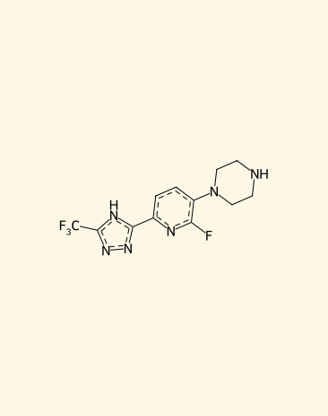 Fc1nc(-c2nnc(C(F)(F)F)[nH]2)ccc1N1CCNCC1